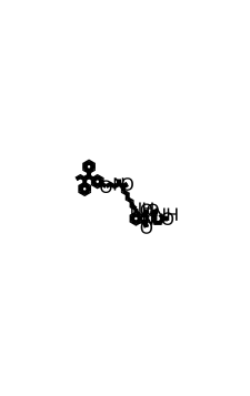 CCC(=C(c1ccccc1)c1ccc(OCCN(C)C(=O)CCCCCNc2cccc3c2C(=O)N(C2CCC(=O)NC2=O)C3=O)cc1)c1ccccc1